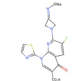 CON=C1CN(c2nc3c(cc2F)c(=O)c(C(=O)O)cn3-c2nccs2)C1